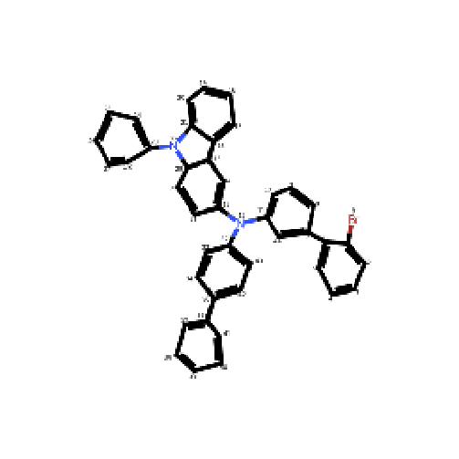 Brc1ccccc1-c1cccc(N(C2=CC3c4ccccc4N(c4ccccc4)C3C=C2)c2ccc(-c3ccccc3)cc2)c1